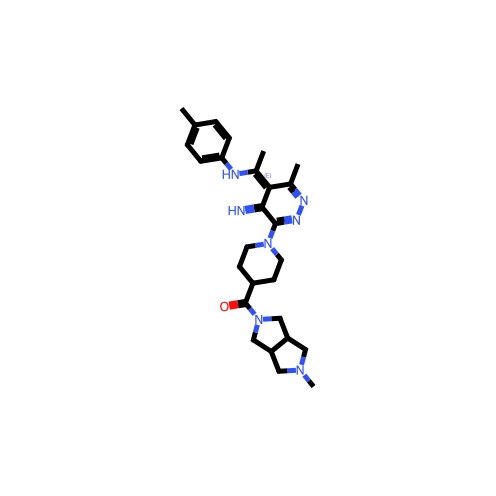 CC1=NN=C(N2CCC(C(=O)N3CC4CN(C)CC4C3)CC2)C(=N)/C1=C(/C)Nc1ccc(C)cc1